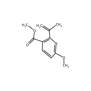 C=C(C)c1nc(OC)ccc1C(=O)OC